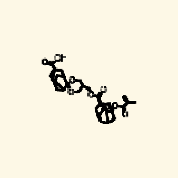 C=C(C)C(=O)OC12CC3CC(C1)CC(C(=O)OCC1COC4(OC1)C1CC5CC4CC(C(=O)O)(C5)C1)(C3)C2